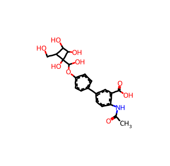 CC(=O)Nc1ccc(-c2ccc(OC(O)C3(O)C(O)C(O)C3CO)cc2)cc1C(=O)O